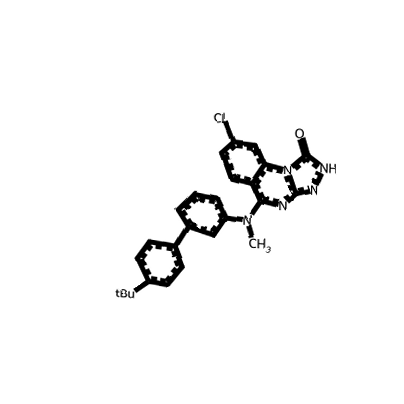 CN(c1cccc(-c2ccc(C(C)(C)C)cc2)c1)c1nc2n[nH]c(=O)n2c2cc(Cl)ccc12